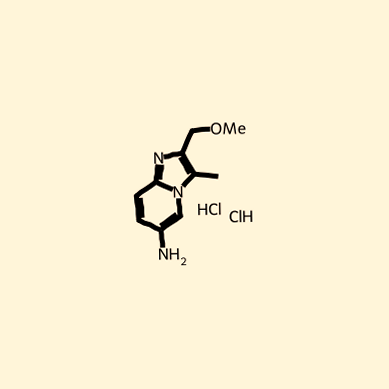 COCc1nc2ccc(N)cn2c1C.Cl.Cl